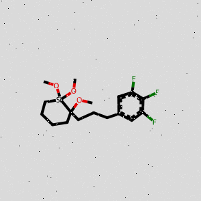 COC1(CCCc2cc(F)c(F)c(F)c2)CCCC[Si]1(OC)OC